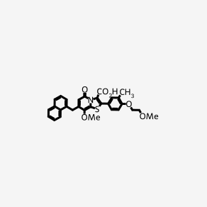 COCCOc1ccc(-c2sc3c(OC)c(Cc4cccc5ccccc45)cc(=O)n3c2C(=O)O)cc1C